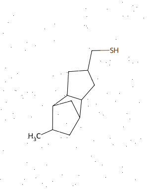 CC1CC2CC1C1CC(CS)CC21